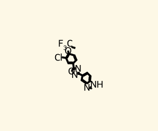 CC(Oc1ccc(-c2nc(-c3ccc4[nH]cnc4c3)no2)cc1Cl)C(F)(F)F